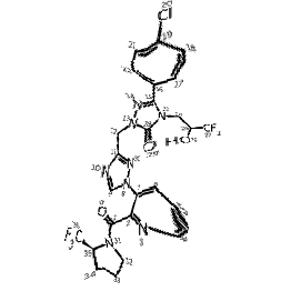 O=C(c1ncccc1-n1cnc(Cn2nc(-c3ccc(Cl)cc3)n(C[C@H](O)C(F)(F)F)c2=O)n1)N1CCC[C@H]1C(F)(F)F